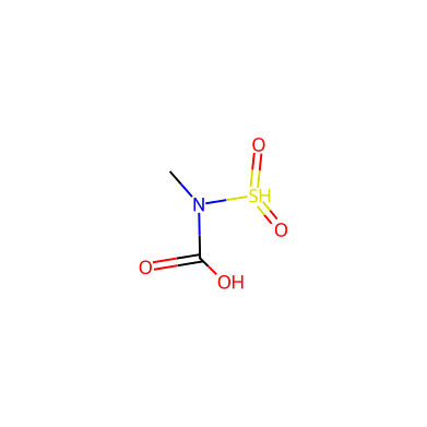 CN(C(=O)O)[SH](=O)=O